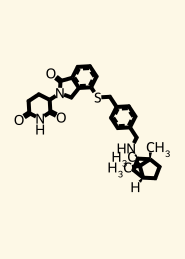 CC1(C)[C@@H]2CC[C@@]1(C)[C@@H](NCc1ccc(CSc3cccc4c3CN(C3CCC(=O)NC3=O)C4=O)cc1)C2